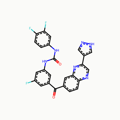 O=C(Nc1cc(F)cc(C(=O)c2ccc3ncc(-c4cn[nH]c4)nc3c2)c1)Nc1ccc(F)c(F)c1